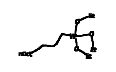 CCCCCCCCCCC[PH](OCC)(OCC)OCC